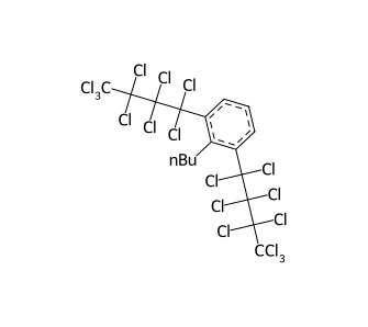 [CH2]CCCc1c(C(Cl)(Cl)C(Cl)(Cl)C(Cl)(Cl)C(Cl)(Cl)Cl)cccc1C(Cl)(Cl)C(Cl)(Cl)C(Cl)(Cl)C(Cl)(Cl)Cl